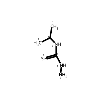 CC(C)NC(=[Se])NN